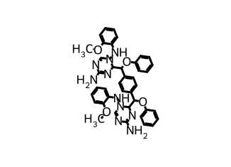 COc1ccccc1NN1C=NC(N)=NC1C(Oc1ccccc1)c1ccc(C(Oc2ccccc2)C2N=C(N)N=CN2Nc2ccccc2OC)cc1